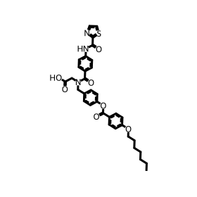 CCCCCCCOc1ccc(C(=O)Oc2ccc(CN(CC(=O)O)C(=O)c3ccc(NC(=O)c4nccs4)cc3)cc2)cc1